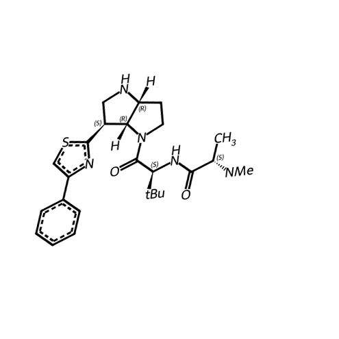 CN[C@@H](C)C(=O)N[C@H](C(=O)N1CC[C@H]2NC[C@H](c3nc(-c4ccccc4)cs3)[C@H]21)C(C)(C)C